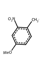 [CH2]c1ccc(OC)cc1[N+](=O)[O-]